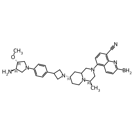 Bc1ccc2c(N3CC4C[C@@H](N5CC(c6ccc(N7C[C@@H](N)[C@H](OC)C7)cc6)C5)CCN4[C@H](C)C3)ccc(C#N)c2n1